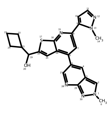 Cn1cc2cc(-c3cc(-c4ccnn4C)nc4sc(C(O)C5CCC5)cc34)cnc2n1